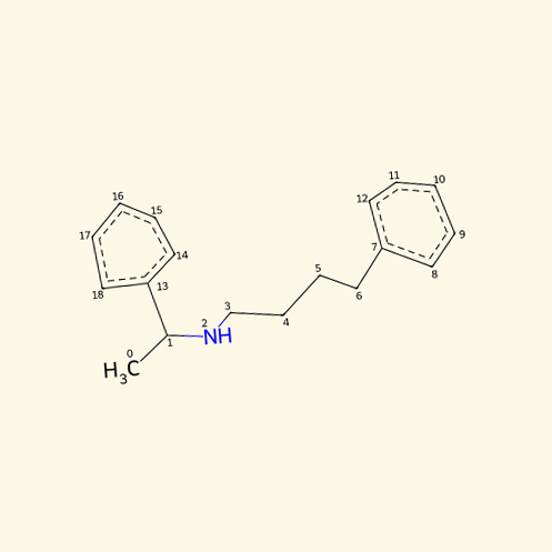 CC(NCCCCc1ccccc1)c1ccccc1